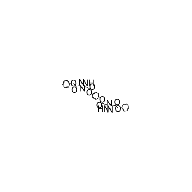 O=C(Oc1ccccc1)c1n[nH]c(C(=O)Oc2ccc(OC(=O)c3nc(C(=O)Oc4ccccc4)n[nH]3)cc2)n1